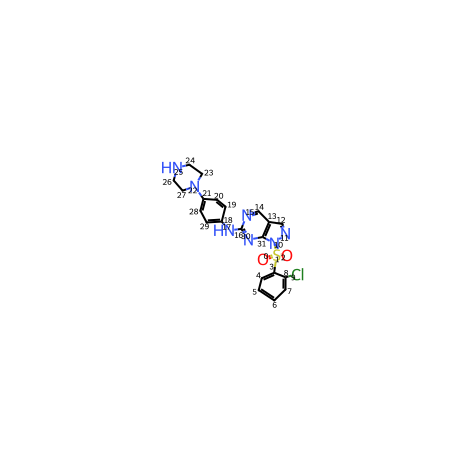 O=S(=O)(c1ccccc1Cl)n1ncc2cnc(Nc3ccc(N4CCNCC4)cc3)nc21